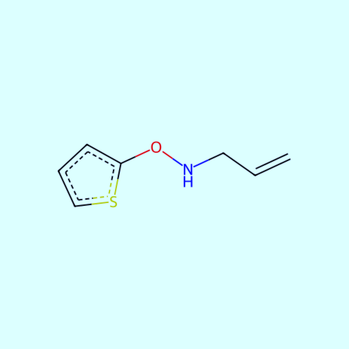 C=CCNOc1cccs1